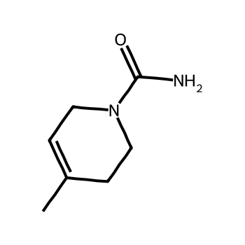 CC1=CCN(C(N)=O)CC1